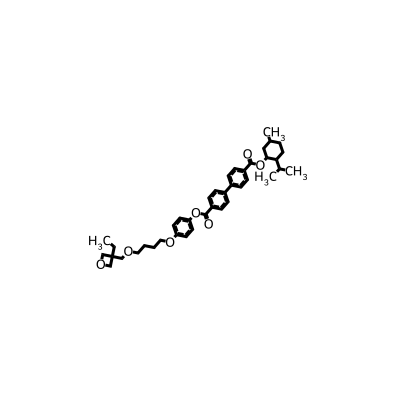 CCC1(COCCCCOc2ccc(OC(=O)c3ccc(-c4ccc(C(=O)OC5CC(C)CCC5C(C)C)cc4)cc3)cc2)COC1